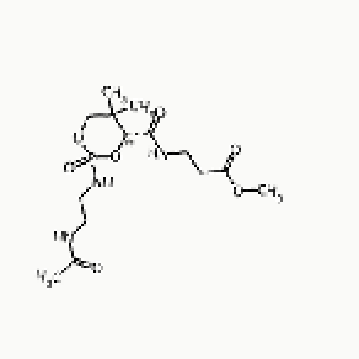 COC(=O)CCNC(=O)[C@@H]1OP(=O)(NCCNC(C)=O)OCC1(C)C